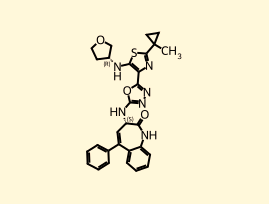 CC1(c2nc(-c3nnc(N[C@H]4C=C(c5ccccc5)c5ccccc5NC4=O)o3)c(N[C@@H]3CCOC3)s2)CC1